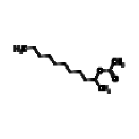 CCCCCCCCCC(C)OC(C)=O